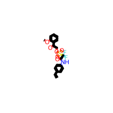 C=Cc1ccc(NC(=O)C(F)(F)S(=O)(=O)OCC(=O)c2ccccc2OC)cc1